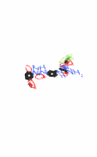 COc1ccc(OC)c(NC(=O)Nc2cccc(CNc3cn(OC(=O)C(F)(F)F)nc3C(N)=O)c2)c1